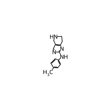 Cc1ccc(Nc2ncc3c(n2)CCNC3)cc1